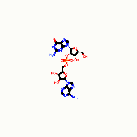 Nc1nc2c(ncn2[C@@H]2O[C@H](CO)[C@H](O)[C@@H]2OP(=O)(O)OC[C@H]2O[C@@H](n3cnc4c(N)ncnc43)C(O)[C@H]2O)c(=O)[nH]1